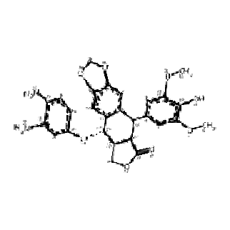 COc1cc([C@@H]2c3cc4c(cc3[C@@H](Oc3ccc(N)c(N)c3)C3COC(=O)C32)OCO4)cc(OC)c1O